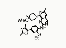 CCOc1cc(-c2oc(C)nc2C)ccc1Nc1ncc2cc(C)nc(N3CCC(C)(OC)CC3)c2n1